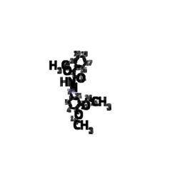 CCOc1ccc(/C=N/NC(=O)C(OC)c2ccccc2)cc1OCC